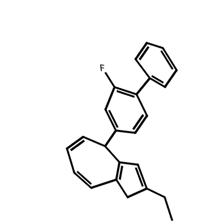 CCC1=CC2=C(C=CC=CC2c2ccc(-c3ccccc3)c(F)c2)C1